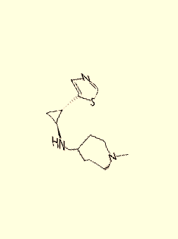 CN1CCC(N[C@H]2C[C@@H]2c2cncs2)CC1